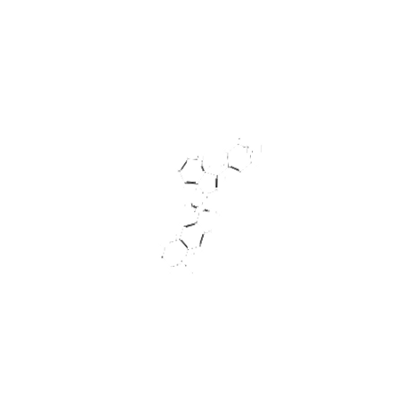 CN1CCOc2cc(S(=O)(=O)n3cc(C4=CCNCC4)c4ncccc43)ccc21